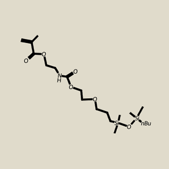 C=C(C)C(=O)OCCNC(=O)OCCOCCC[Si](C)(C)O[Si](C)(C)CCCC